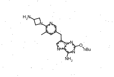 CCCCOc1nc(N)c2ncc(Cc3cnc(N4CC(N)C4)c(C)c3)n2n1